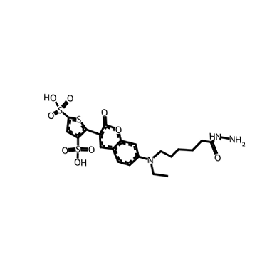 CCN(CCCCCC(=O)NN)c1ccc2cc(-c3sc(S(=O)(=O)O)cc3S(=O)(=O)O)c(=O)oc2c1